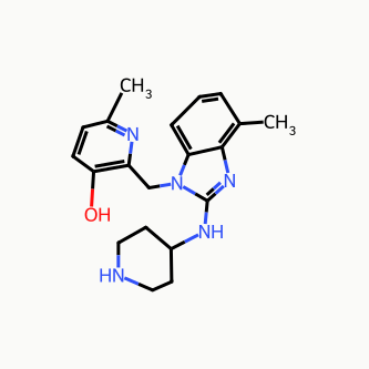 Cc1ccc(O)c(Cn2c(NC3CCNCC3)nc3c(C)cccc32)n1